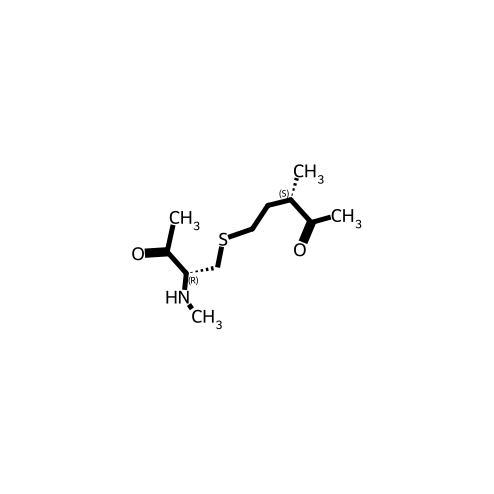 CN[C@@H](CSCC[C@H](C)C(C)=O)C(C)=O